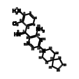 N=C(c1cccc(N)c1Cl)c1ncc(N2CCC3(CCCC3)CC2)nc1N